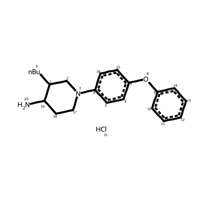 CCCCC1CN(c2ccc(Oc3ccccc3)cc2)CCC1N.Cl